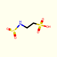 O=[SH](=O)NCCS(=O)(=O)O